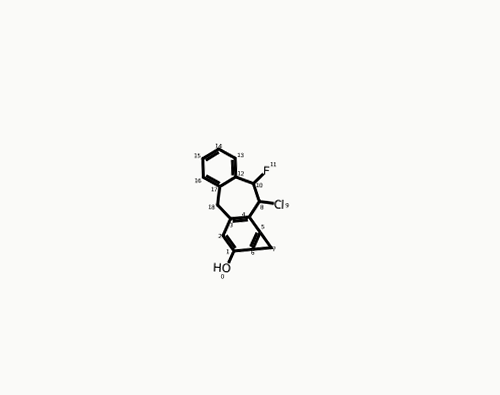 Oc1cc2c(c3c1C3)C(Cl)C(F)c1ccccc1C2